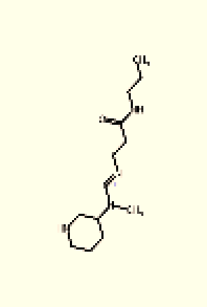 CCCNC(=O)CC/N=C/N(C)C1CCCNC1